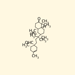 CCC[C@@H]1[C@@]2(C)CCC(=O)C(C)(C)[C@@H]2CC[C@@]1(C)C(C)(C)CC[C@@]1(C=O)CC=C(C)C[C@@H]1C